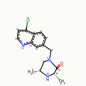 C[C@@H]1CN(Cc2ccc3c(Cl)ccnc3c2)C(=O)[C@H](C)N1